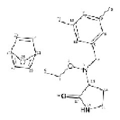 CCON(Cc1cc(C)cc(C)c1)C1CCNC1=O.c1cc2ccc1o2